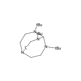 CC(C)(C)N1CCN2CCN(C(C)(C)C)C1N(C(C)(C)C)CC2